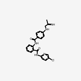 CC(=N)CNc1ccc(C(=O)Nc2ccccc2C(=O)Nc2ccc(Cl)cn2)cc1